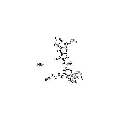 Br.CCOc1cc2c(nc1C(=O)NC)C(=N)N(CC(=O)c1cc(OCCCC#N)c(OC)c(C(C)(C)C)c1)C2